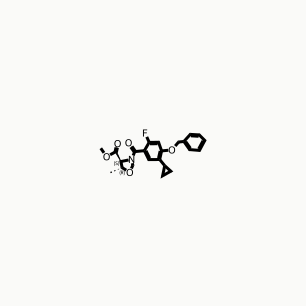 COC(=O)[C@@H]1[C@@H](C)OCN1C(=O)c1cc(C2CC2)c(OCc2ccccc2)cc1F